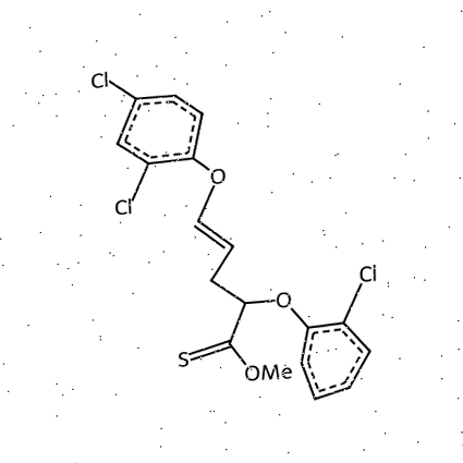 COC(=S)C(CC=COc1ccc(Cl)cc1Cl)Oc1ccccc1Cl